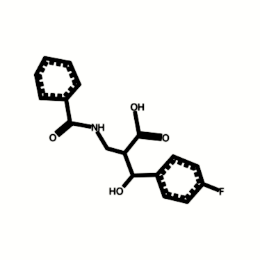 O=C(NCC(C(=O)O)C(O)c1ccc(F)cc1)c1ccccc1